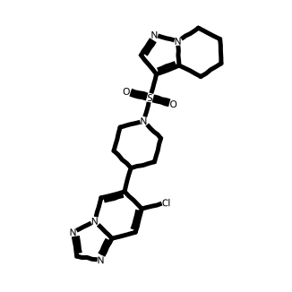 O=S(=O)(c1cnn2c1CCCC2)N1CCC(c2cn3ncnc3cc2Cl)CC1